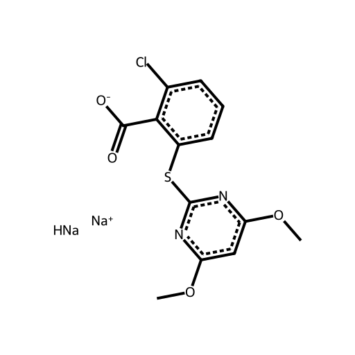 COc1cc(OC)nc(Sc2cccc(Cl)c2C(=O)[O-])n1.[Na+].[NaH]